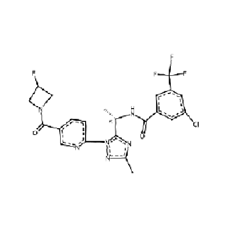 Cc1nc([C@H](C)NC(=O)c2cc(Cl)cc(C(F)(F)F)c2)n(-c2ccc(C(=O)N3CC(F)C3)cn2)n1